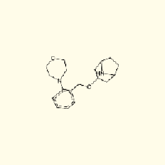 c1ccc(N2CCOCC2)c(COC2CC3CCC(C2)N3)c1